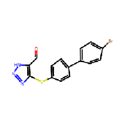 O=Cc1[nH]nnc1Sc1ccc(-c2ccc(Br)cc2)cc1